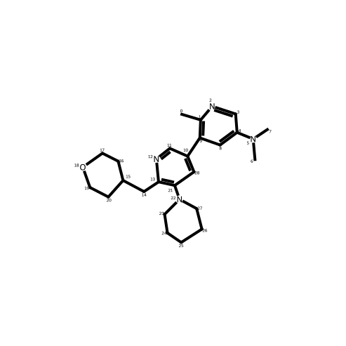 Cc1ncc(N(C)C)cc1-c1cnc(CC2CCOCC2)c(N2CCCCC2)c1